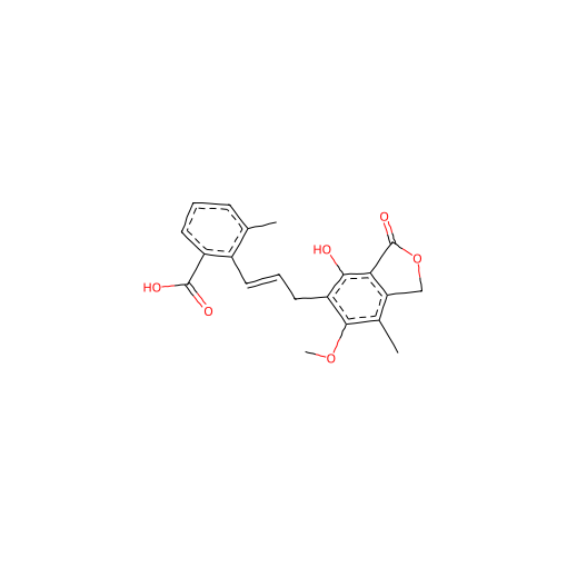 COc1c(C)c2c(c(O)c1CC=Cc1c(C)cccc1C(=O)O)C(=O)OC2